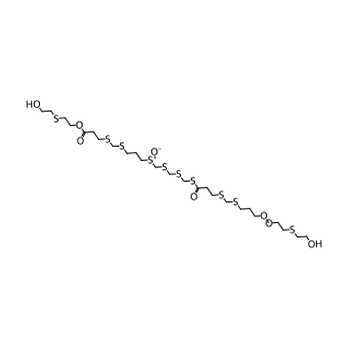 O=C(CCSCSCCC[S+]([O-])CSCSCSC(=O)CCSCSCCCOOCCSCCO)OCCSCCO